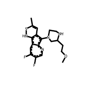 COCCC1CN(c2c3ncc(F)c(F)cc-3c3c2C=C(C)SN3)CCN1